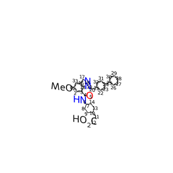 COc1cc(C(=O)NC2CCC(CC(=O)O)CC2)c2c(cnn2Cc2ccc(-c3ccccc3)cc2)c1